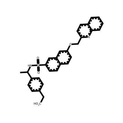 CC(NS(=O)(=O)c1ccc2ccc(OCc3ccc4ccccc4n3)cc2c1)c1ccc(CC(=O)O)cc1